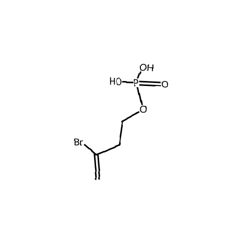 C=C(Br)CCOP(=O)(O)O